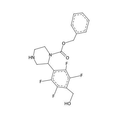 O=C(OCc1ccccc1)N1CCNCC1c1c(F)c(F)c(CO)c(F)c1F